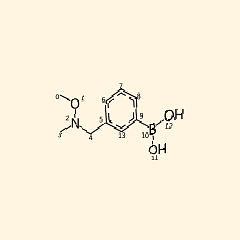 CON(C)Cc1cccc(B(O)O)c1